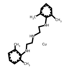 Cc1cccc(C)c1NCCNCCNc1c(C)cccc1C.[Cu]